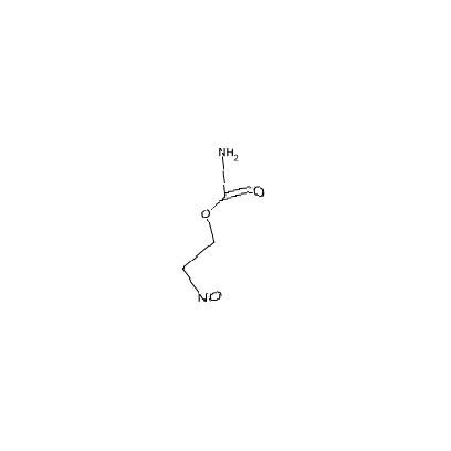 NC(=O)OCCN=O